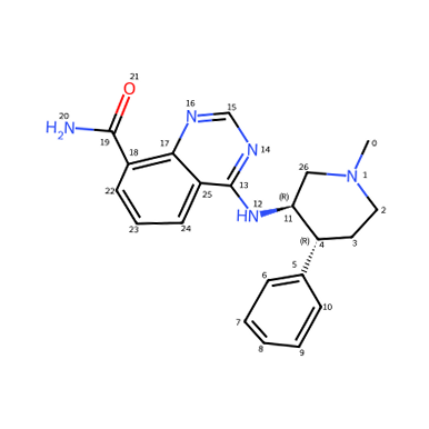 CN1CC[C@H](c2ccccc2)[C@@H](Nc2ncnc3c(C(N)=O)cccc23)C1